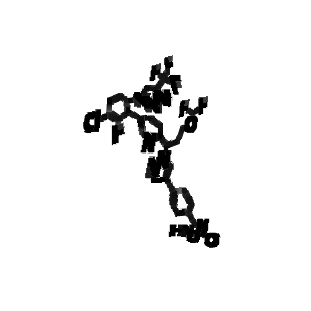 O=c1nc(-c2ccc(-c3cnn(C(CCOC(F)F)c4ccc(-c5c(-n6cc(C(F)(F)F)nn6)ccc(Cl)c5F)cn4)c3)cc2)[nH]o1